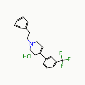 Cl.FC(F)(F)c1cccc(C2=CCN(CCc3ccccc3)CC2)c1